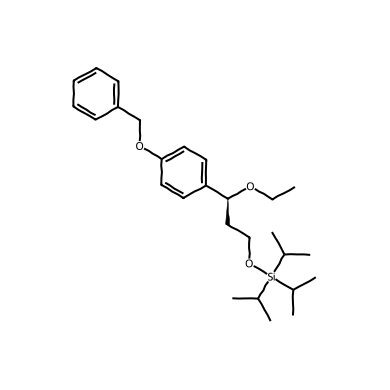 CCO[C@@H](CCO[Si](C(C)C)(C(C)C)C(C)C)c1ccc(OCc2ccccc2)cc1